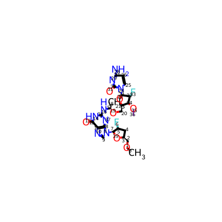 COC[C@@H]1CC(F)[C@H](n2cnc3c(=O)[nH]c(N[C@H](C)OC[C@H]4O[C@@H](n5ccc(N)nc5=O)C(F)C4OI)nc32)O1